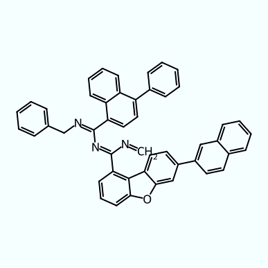 C=N/C(=N\C(=N/Cc1ccccc1)c1ccc(-c2ccccc2)c2ccccc12)c1cccc2oc3cc(-c4ccc5ccccc5c4)ccc3c12